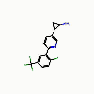 N[C@@H]1C[C@H]1c1ccc(-c2cc(C(F)(F)F)ccc2F)nc1